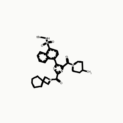 CC1CCN(C(=O)c2nc(C(=O)N3CC4(CCCCC4)C3)sc2-c2ccc(S(=O)(=O)NC(C)(C)C)c3ccccc23)CC1